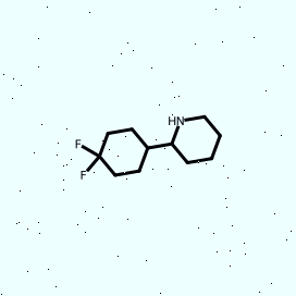 FC1(F)CCC(C2CCCCN2)CC1